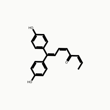 C/C=C\C(=O)/C=C\C=C(c1ccc(O)cc1)c1ccc(O)cc1